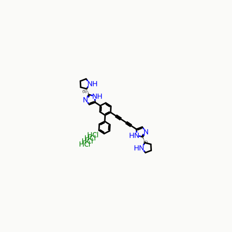 C(C#Cc1ccc(-c2cnc([C@@H]3CCCN3)[nH]2)cc1-c1ccccc1)#Cc1cnc([C@@H]2CCCN2)[nH]1.Cl.Cl.Cl.Cl